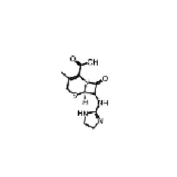 CC1=C(C(=O)O)N2C(=O)C(NC3=NCCN3)[C@@H]2SC1